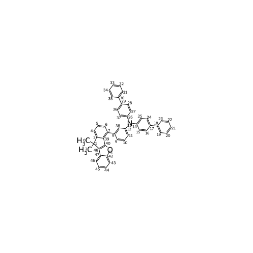 CC1(C)c2cccc(-c3cccc(N(c4ccc(-c5ccccc5)cc4)c4ccc(-c5ccccc5)cc4)c3)c2-c2oc3ccccc3c21